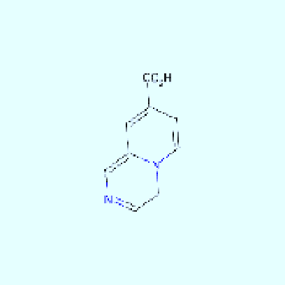 O=C(O)C1=CC2=CN=CCN2C=C1